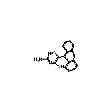 Nc1nnc(-c2c3ccccc3cc3ccccc23)c(N)n1